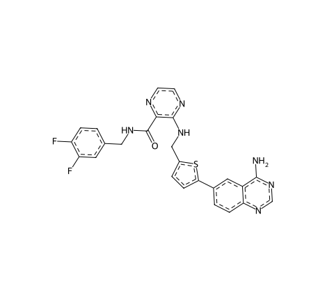 Nc1ncnc2ccc(-c3ccc(CNc4nccnc4C(=O)NCc4ccc(F)c(F)c4)s3)cc12